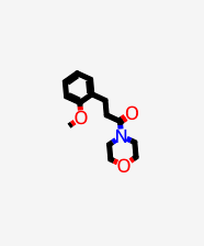 COc1ccccc1CCC(=O)N1CCOCC1